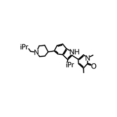 Cc1cc(-c2[nH]c3ccc(C4CCN(CC(C)C)CC4)cc3c2C(C)C)cn(C)c1=O